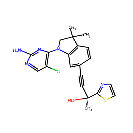 CC1(C)CN(c2nc(N)ncc2Cl)c2cc(C#C[C@](C)(O)c3nccs3)ccc21